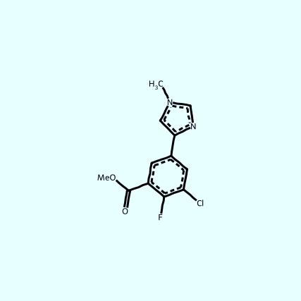 COC(=O)c1cc(-c2cn(C)cn2)cc(Cl)c1F